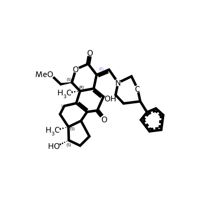 COC[C@H]1OC(=O)/C(=C/N2CCC(c3ccccc3)CC2)C2=C(O)C(=O)C3=C([C]C[C@@]4(C)C3CC[C@@H]4O)[C@]21C